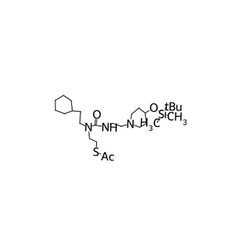 CC(=O)SCCN(CCC1CCCCC1)C(=O)NCCN1CCC(O[Si](C)(C)C(C)(C)C)CC1